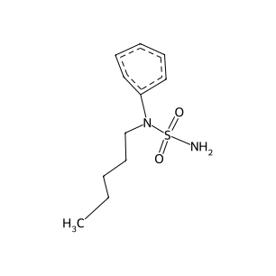 CCCCCN(c1ccccc1)S(N)(=O)=O